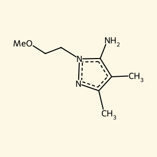 COCCn1nc(C)c(C)c1N